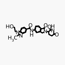 Cc1nc2cc(C(=O)Nc3ccc4c(c3)CN(C3CCC(=O)NC3=O)C4=O)ccc2n1CCO